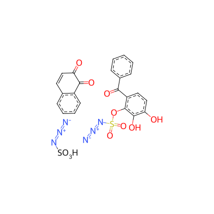 O=C1C=Cc2ccccc2C1=O.[N-]=[N+]=NS(=O)(=O)O.[N-]=[N+]=NS(=O)(=O)Oc1c(C(=O)c2ccccc2)ccc(O)c1O